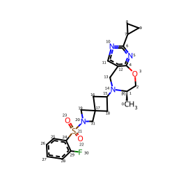 C[C@@H]1COc2nc(C3CC3)ncc2CN1C1CC2(C1)CN(S(=O)(=O)c1ccccc1F)C2